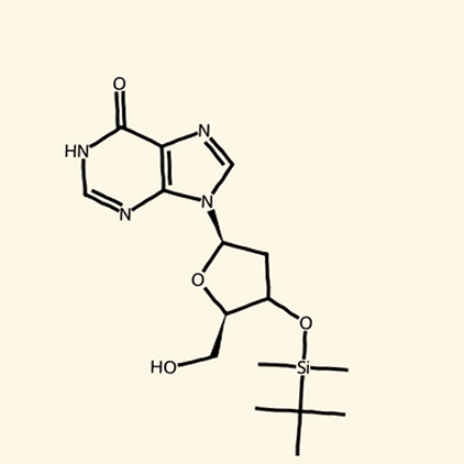 CC(C)(C)[Si](C)(C)OC1C[C@H](n2cnc3c(=O)[nH]cnc32)O[C@@H]1CO